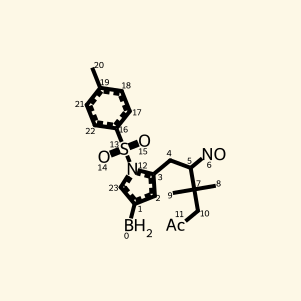 Bc1cc(CC(N=O)C(C)(C)CC(C)=O)n(S(=O)(=O)c2ccc(C)cc2)c1